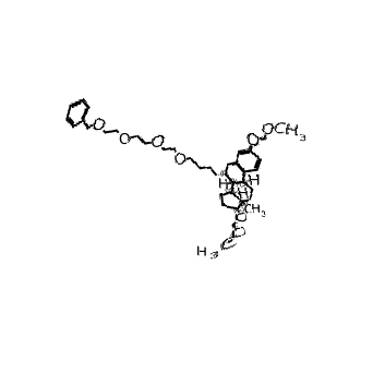 COCOc1ccc2c(c1)C[C@@H](CCCCOCCOCCOCCOCc1ccccc1)[C@@H]1[C@@H]2CC[C@]2(C)[C@@H](OCOC)CC[C@@H]12